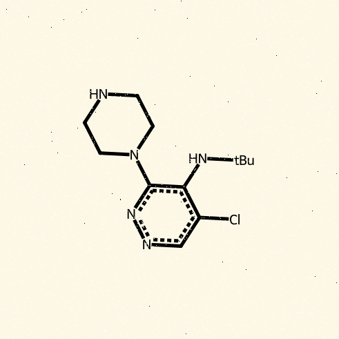 CC(C)(C)Nc1c(Cl)cnnc1N1CCNCC1